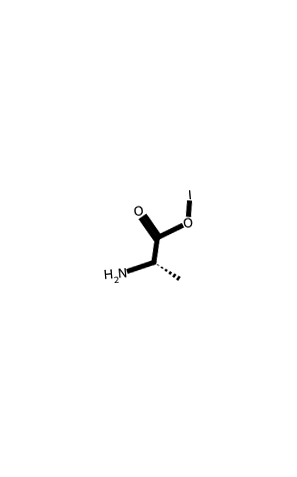 C[C@H](N)C(=O)OI